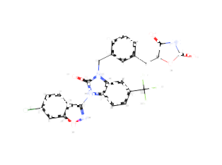 O=C1NC(=O)C(Cc2cccc(Cn3c(=O)n(-c4noc5cc(Cl)ccc45)c4ccc(C(F)(F)F)cc43)c2)O1